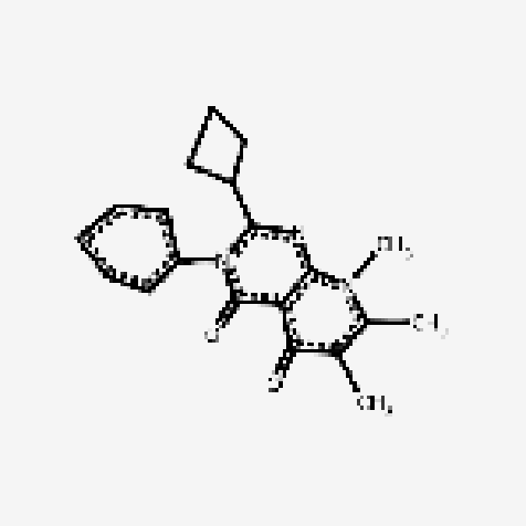 Cc1c(C)n(C)c2nc(C3CCC3)n(-c3ccccc3)c(=O)c2c1=O